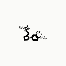 CC(C)(C)[Si](C)(C)OCC1CCCN1c1ccc([N+](=O)[O-])c(C(F)(F)F)c1